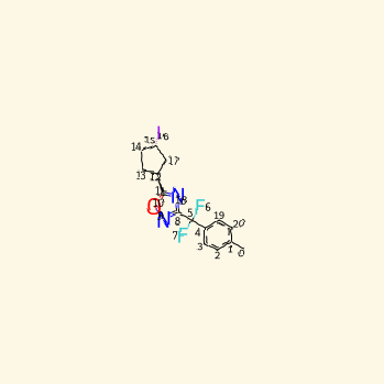 Cc1ccc(C(F)(F)c2noc([C@H]3CC[C@H](I)C3)n2)cc1